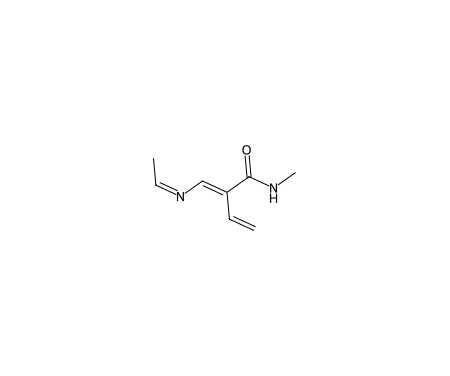 C=C/C(=C\N=C/C)C(=O)NC